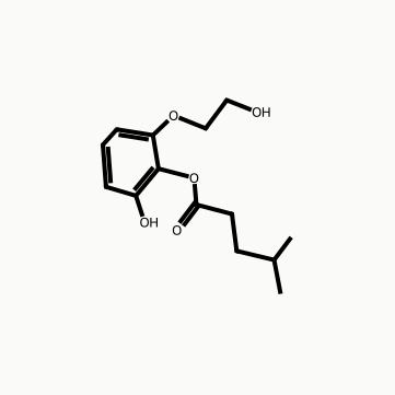 CC(C)CCC(=O)Oc1c(O)cccc1OCCO